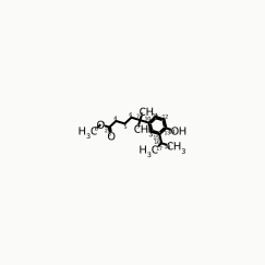 COC(=O)CCCC(C)(C)c1ccc(O)c(C(C)C)c1